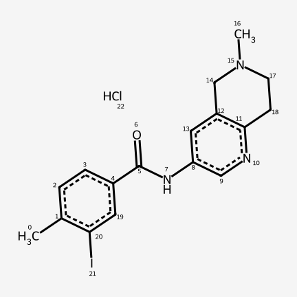 Cc1ccc(C(=O)Nc2cnc3c(c2)CN(C)CC3)cc1I.Cl